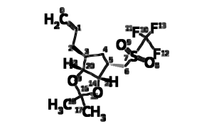 C=CC[C@H]1C[C@H](CS(=O)(=O)C(F)(F)F)[C@@H]2OC(C)(C)O[C@H]12